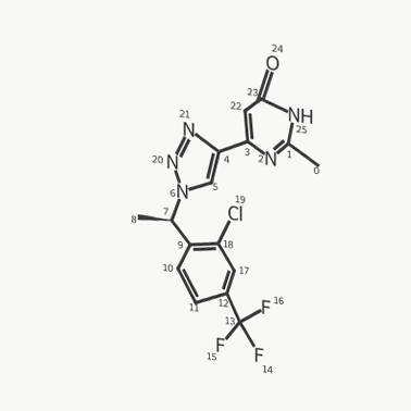 Cc1nc(-c2cn([C@H](C)c3ccc(C(F)(F)F)cc3Cl)nn2)cc(=O)[nH]1